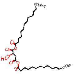 CCCCCCCCCCCCCCCCCCCCCC(=O)OC(=O)CC(O)C(=O)OC(=O)CCCCCCCCCCCCCCCCCCCCC